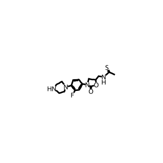 CC(=S)NCC1CN(c2ccc(N3CCNCC3)c(F)c2)C(=O)O1